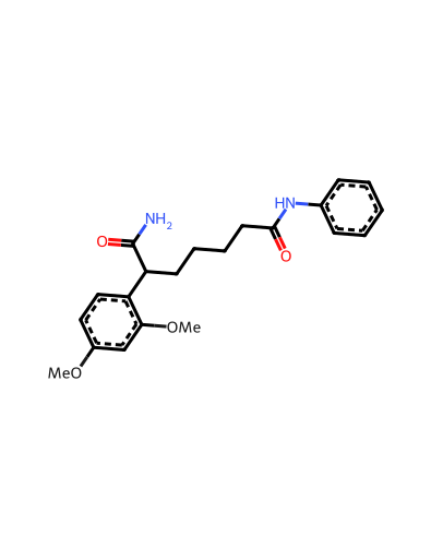 COc1ccc(C(CCCCC(=O)Nc2ccccc2)C(N)=O)c(OC)c1